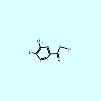 CCCCOC(=O)c1ccc(Br)c(C)c1